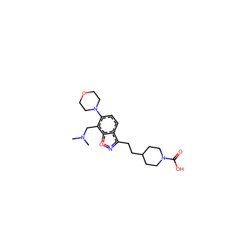 CN(C)Cc1c(N2CCOCC2)ccc2c(CCC3CCN(C(=O)O)CC3)noc12